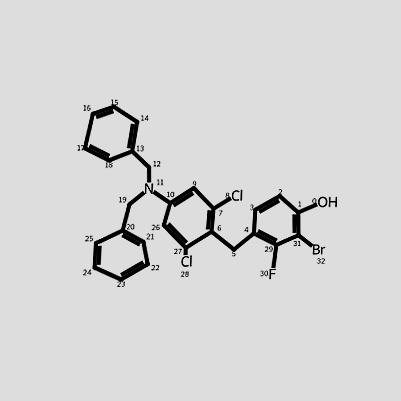 Oc1ccc(Cc2c(Cl)cc(N(Cc3ccccc3)Cc3ccccc3)cc2Cl)c(F)c1Br